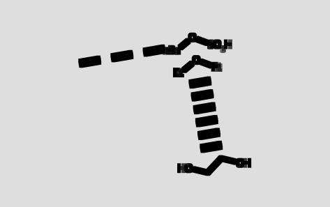 C=C.C=C.C=C.C=C.C=C.C=C.C=C.C=C.C=C.CCCCOS(=O)(=O)O.CCOCC.OCCO